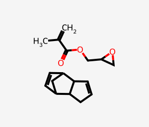 C1=CC2C3C=CC(C3)C2C1.C=C(C)C(=O)OCC1CO1